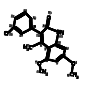 COc1cc(OC)c2c(C)c(-c3cccc(Cl)c3)c(=O)[nH]c2c1